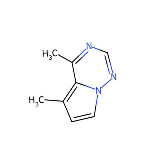 Cc1ccn2ncnc(C)c12